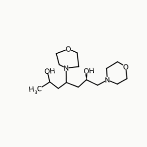 CC(O)CC(C[C@@H](O)CN1CCOCC1)N1CCOCC1